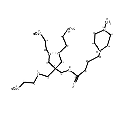 CCCCCCCCCCCCOCC(COCCCCCCCCCCCC)(COCCCCCCCCCCCC)COC(=O)CCCN1CCN(C)CC1